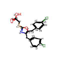 O=C(O)CSc1nc(Cc2ccc(Cl)cc2)c(Cc2ccc(Cl)cc2)o1